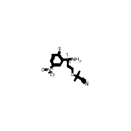 CC(C)(C#N)OCC[C@](C)(N)c1cc([N+](=O)[O-])ccc1F